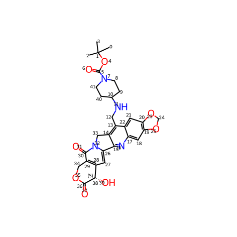 CC(C)(C)OC(=O)N1CCC(NCc2c3c(nc4cc5c(cc24)OCO5)-c2cc4c(c(=O)n2C3)COC(=O)[C@H]4O)CC1